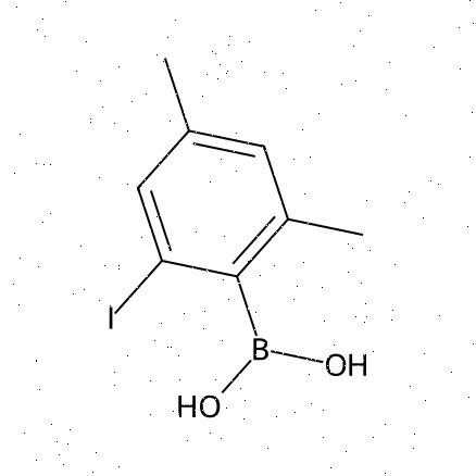 Cc1cc(C)c(B(O)O)c(I)c1